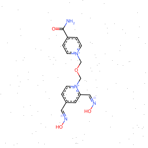 NC(=O)c1cc[n+](COC[n+]2ccc(/C=N/O)cc2/C=N\O)cc1